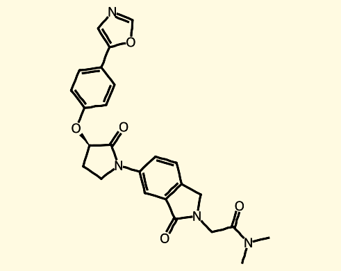 CN(C)C(=O)CN1Cc2ccc(N3CC[C@@H](Oc4ccc(-c5cnco5)cc4)C3=O)cc2C1=O